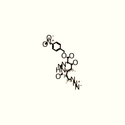 C[C@@H](N=[N+]=[N-])[C@@H]1C(=O)N[C@@H]1[C@@H](C)C(=O)C(=[N+]=[N-])C(=O)OCc1ccc([N+](=O)[O-])cc1